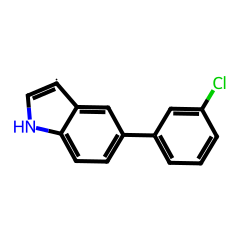 Clc1cccc(-c2ccc3[nH]c[c]c3c2)c1